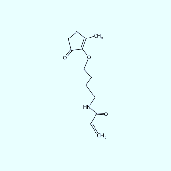 C=CC(=O)NCCCCOC1=C(C)CCC1=O